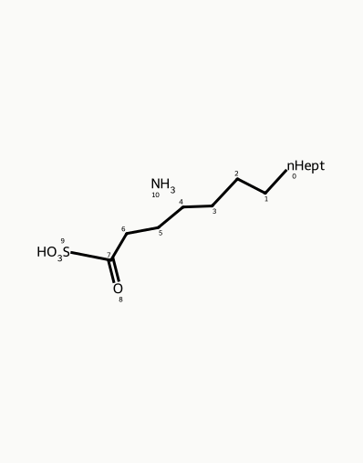 CCCCCCCCCCCCCC(=O)S(=O)(=O)O.N